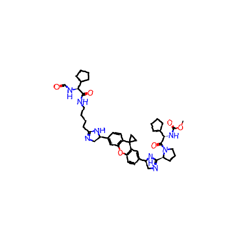 COC(=O)N[C@H](C(=O)N1CCC[C@H]1C1=NCC(c2ccc3c(c2)C2(CC2)c2ccc(C4CN=C(CCCCNC(=O)[C@@H](NC=O)C5CCCC5)N4)cc2O3)N1)C1CCCC1